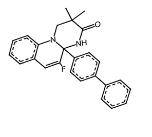 CC1(C)CN2c3ccccc3C=C(F)C2(c2ccc(-c3ccccc3)cc2)NC1=O